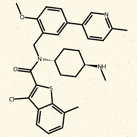 CN[C@H]1CC[C@H](N(Cc2cc(-c3ccc(C)nc3)ccc2OC)C(=O)c2sc3c(C)cccc3c2Cl)CC1